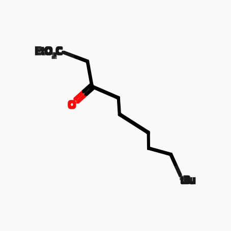 CCOC(=O)CC(=O)CCCCCC(C)(C)C